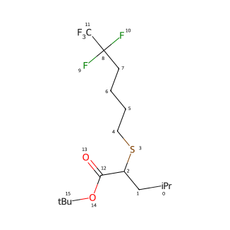 CC(C)CC(SCCCCC(F)(F)C(F)(F)F)C(=O)OC(C)(C)C